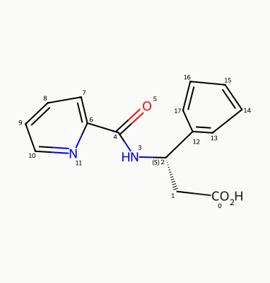 O=C(O)C[C@H](NC(=O)c1ccccn1)c1ccccc1